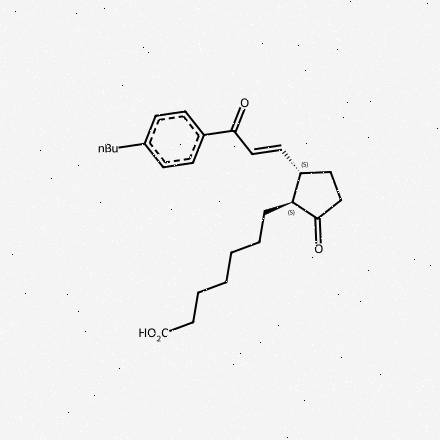 CCCCc1ccc(C(=O)C=C[C@@H]2CCC(=O)[C@H]2CCCCCCC(=O)O)cc1